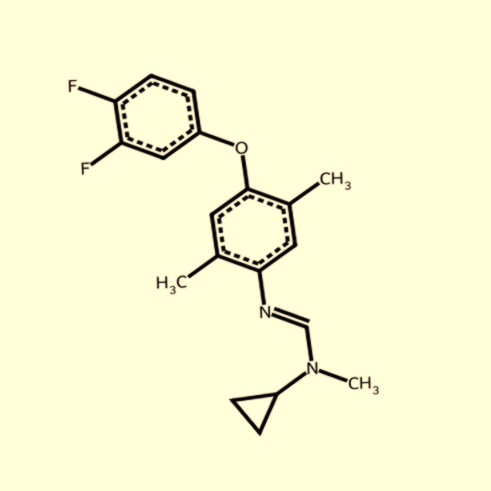 Cc1cc(Oc2ccc(F)c(F)c2)c(C)cc1N=CN(C)C1CC1